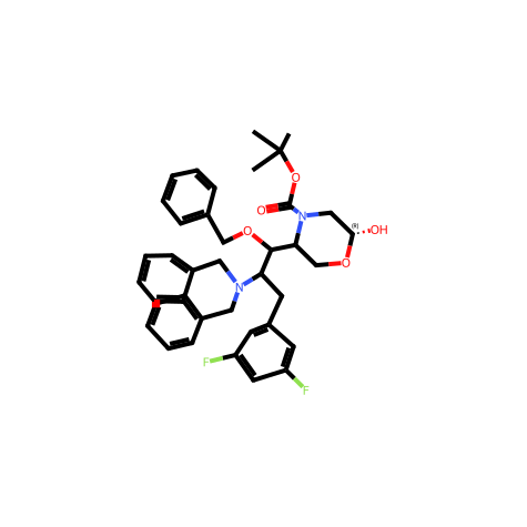 CC(C)(C)OC(=O)N1C[C@H](O)OCC1C(OCc1ccccc1)C(Cc1cc(F)cc(F)c1)N(Cc1ccccc1)Cc1ccccc1